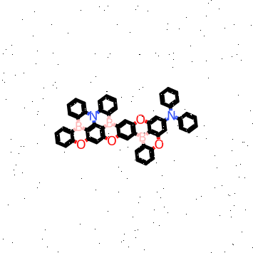 c1ccc(N(c2ccccc2)c2cc3c4c(c2)Oc2cc5c(cc2B4c2ccccc2O3)Oc2cc3c4c6c2B5c2ccccc2N6c2ccccc2B4c2ccccc2O3)cc1